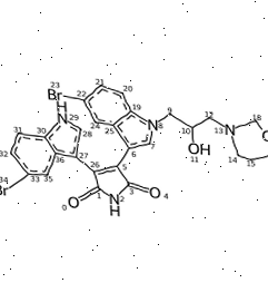 O=C1NC(=O)C(c2cn(CC(O)CN3CCCCC3)c3ccc(Br)cc23)=C1c1c[nH]c2ccc(Br)cc12